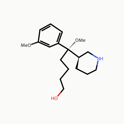 COc1cccc([C@@](CCCCO)(OC)[C@@H]2CCCNC2)c1